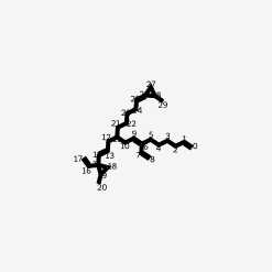 C=CCCCCC(C=C)=CCC(CC=CC1(C=C)CC1C)CCCCC=C1CC1C